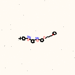 CC(C)(C)c1ccc(-c2nnc(-c3cccc(-c4nnc(-c5cccc(OCCCCCC6CC7C=CC6C7)c5)o4)c3)o2)cc1